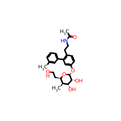 CC(=O)NCCc1ccc(O[C@H]2O[C@H](CCO)[C@H](C)[C@@H](O)[C@H]2O)cc1-c1cccc(C)c1